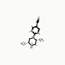 C[C@@H]1CN(c2ncc(C#N)cn2)[C@H](C)CN1